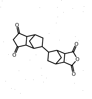 O=C1CC(=O)C2C3CC(CC3C3CC4CC3C3C(=O)OC(=O)C43)C12